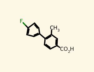 Cc1cc(C(=O)O)ccc1-c1ccc(F)cc1